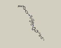 C=CC(=O)OCOc1ccc(-c2ccc(/C=C/C(=O)OC3COC4C(OC(=O)/C=C/c5ccc(-c6ccc(OC)cc6)cc5)COC34)cc2)cc1